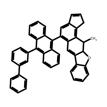 CC1c2c(c(-c3c4ccccc4c(-c4cccc(-c5ccccc5)c4)c4ccccc34)cc3c2CC=C3)C=C2c3ccccc3OC21